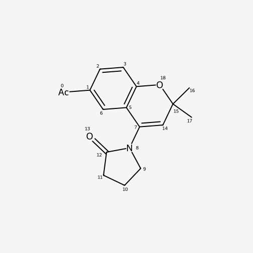 CC(=O)c1ccc2c(c1)C(N1CCCC1=O)=CC(C)(C)O2